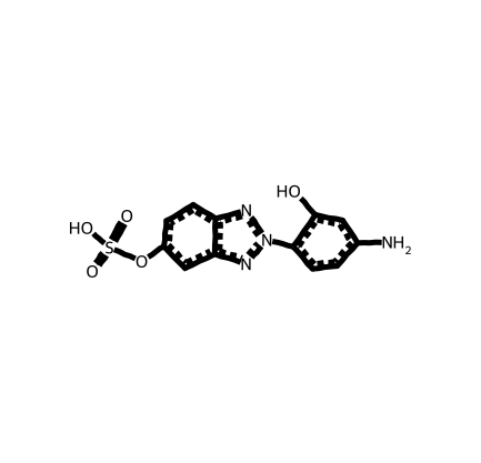 Nc1ccc(-n2nc3ccc(OS(=O)(=O)O)cc3n2)c(O)c1